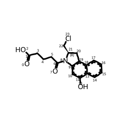 O=C(O)CCCC(=O)N1c2cc(O)c3ccccc3c2C[C@@H]1CCl